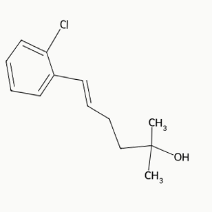 CC(C)(O)CCC=Cc1ccccc1Cl